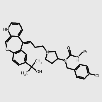 CC(C)NC(=O)N(Cc1ccc(Cl)cc1)C1CCN(CCC=C2C3=CC=CNC3=COc3ccc(C(C)(C)O)cc32)C1